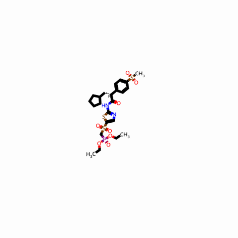 CCOP(=O)(CS(=O)(=O)c1cnc(NC(=O)[C@H](CC2CCCC2)c2ccc(S(C)(=O)=O)cc2)s1)OCC